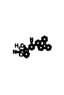 C=Cc1c(/C=C(\C)C#N)c2ccccc2n1-c1ccc(-c2ccc(-c3ccccc3-n3c4ccccc4c4ccccc43)cc2)c(C#N)c1